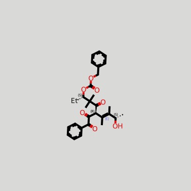 CC[C@H](OC(=O)OCc1ccccc1)C(C)(C)C(=O)[C@H](C(=O)C(=O)c1ccccc1)/C(C)=C(\C)[C@H](C)O